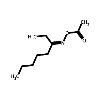 CCCCC/C(CC)=N/OC(C)=O